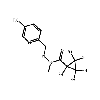 [2H]C1([2H])C([2H])([2H])C1([2H])C(=O)N(C)NCc1ccc(C(F)(F)F)cn1